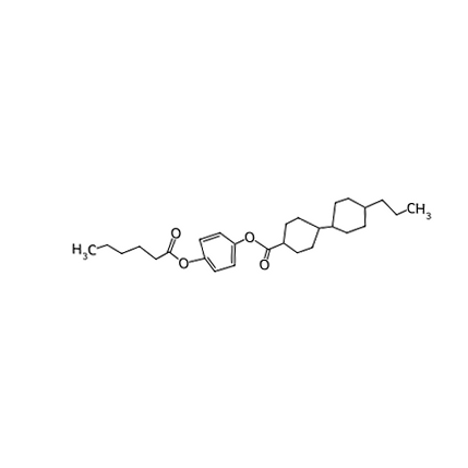 CCCCCC(=O)Oc1ccc(OC(=O)C2CCC(C3CCC(CCC)CC3)CC2)cc1